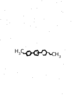 CCC[C@H]1CC[C@H](C23CCC(c4ccc(CC)cc4)(CC2)CC3)CC1